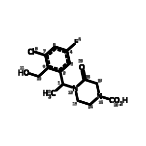 CC(c1cc(F)cc(Cl)c1CO)N1CCN(C(=O)O)CC1=O